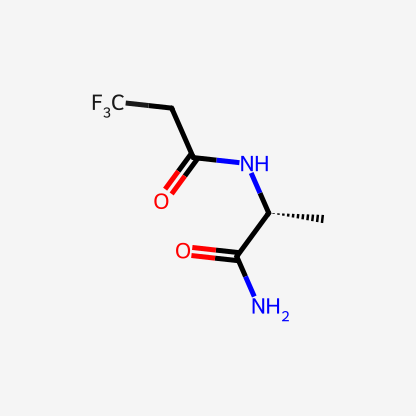 C[C@@H](NC(=O)CC(F)(F)F)C(N)=O